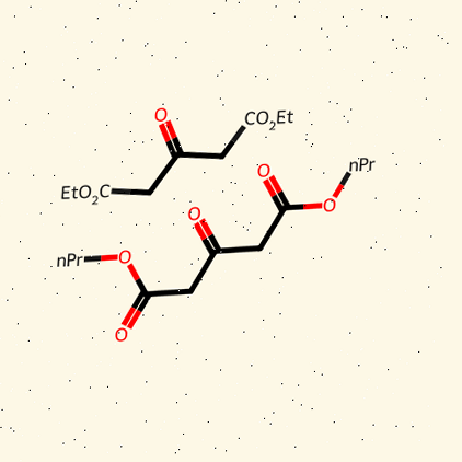 CCCOC(=O)CC(=O)CC(=O)OCCC.CCOC(=O)CC(=O)CC(=O)OCC